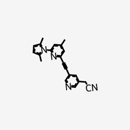 Cc1cc(C#Cc2cncc(CC#N)c2)nc(-n2c(C)ccc2C)c1